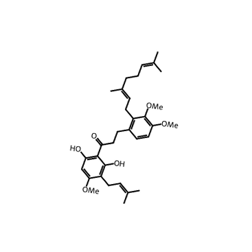 COc1cc(O)c(C(=O)CCc2ccc(OC)c(OC)c2C/C=C(\C)CCC=C(C)C)c(O)c1CC=C(C)C